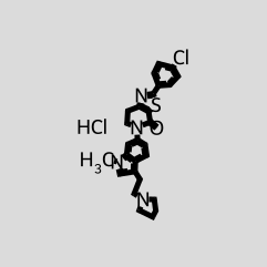 Cl.Cn1cc(CCN2CCCC2)c2ccc(N3CCc4nc(-c5ccc(Cl)cc5)sc4C3=O)cc21